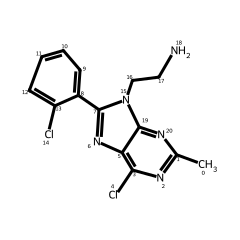 Cc1nc(Cl)c2nc(-c3ccccc3Cl)n(CCN)c2n1